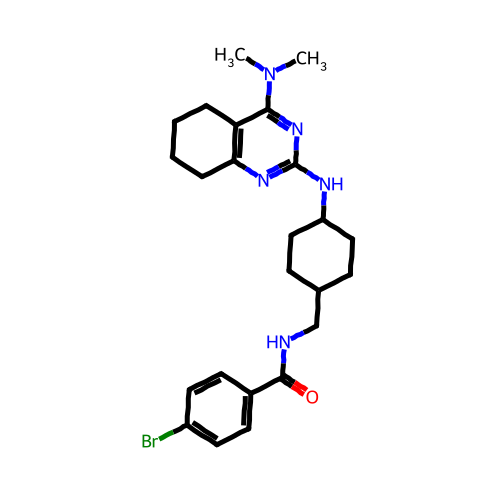 CN(C)c1nc(NC2CCC(CNC(=O)c3ccc(Br)cc3)CC2)nc2c1CCCC2